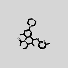 CCC1C(C)C(Nc2cccc(C)n2)C2=CC(N3CCOCC3)=CC(C)C2N1C(C)=O